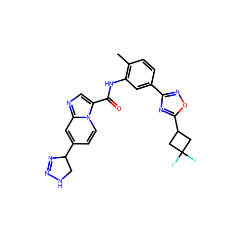 Cc1ccc(-c2noc(C3CC(F)(F)C3)n2)cc1NC(=O)c1cnc2cc(C3CNN=N3)ccn12